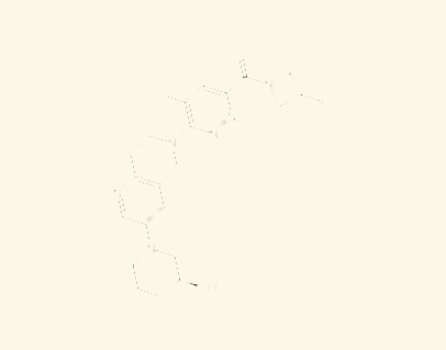 Cc1cc(C(=O)N2CC(Cl)C2)nnc1N1CCc2ncc(N3CCO[C@H](C)C3)cc2C1